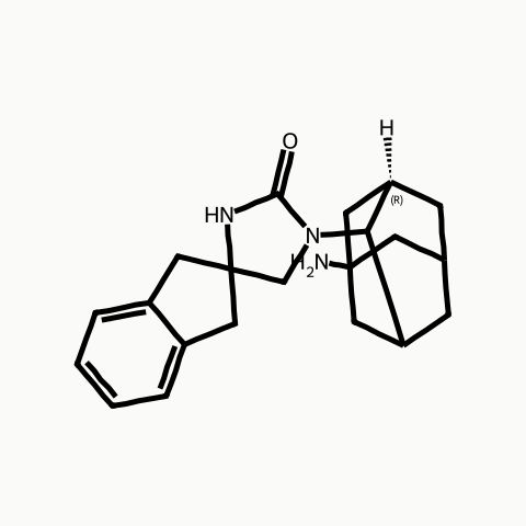 NC12CC3CC(C1)C(N1CC4(Cc5ccccc5C4)NC1=O)[C@H](C3)C2